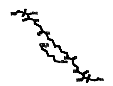 CC(C)(CO)C(O)C(=O)NCCC(=O)NCCSSCCNC(=O)CCNC(=O)C(O)C(C)(C)CO.CCCCCCCCCCCCCCCC(=O)O